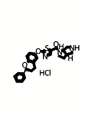 Cl.O=C(c1cnc(Oc2ccc3c(c2)CC[C@@H](c2ccccc2)O3)s1)N1CC[C@H]2CNC[C@H]21